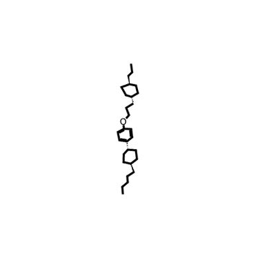 CCCCC[C@H]1CC[C@H](c2ccc(OCCC[C@H]3CC[C@H](CCC)CC3)cc2)CC1